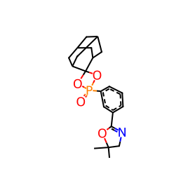 CC1(C)CN=C(c2cccc(P3(=O)OC4(O3)C3CC5CC(C3)CC4C5)c2)O1